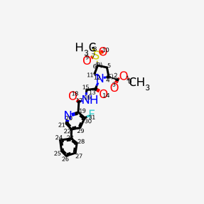 COC(=O)[C@@H]1C[C@@H](S(C)(=O)=O)CN1C(=O)CNC(=O)c1ncc(-c2ccccc2)cc1F